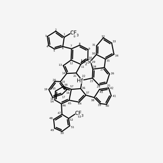 FC(F)(F)c1ccccc1-c1cccc2c1C=C(c1ccccc1)[CH]2[Hf]([c]1cccc2c1[SiH2]c1ccccc1-2)[CH]1C(c2ccccc2)=Cc2c(-c3ccccc3C(F)(F)F)cccc21